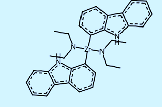 CC[N](CC)[Zr]([c]1cccc2c1[nH]c1ccccc12)([c]1cccc2c1[nH]c1ccccc12)[N](CC)CC